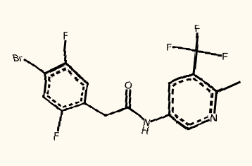 Cc1ncc(NC(=O)Cc2cc(F)c(Br)cc2F)cc1C(F)(F)F